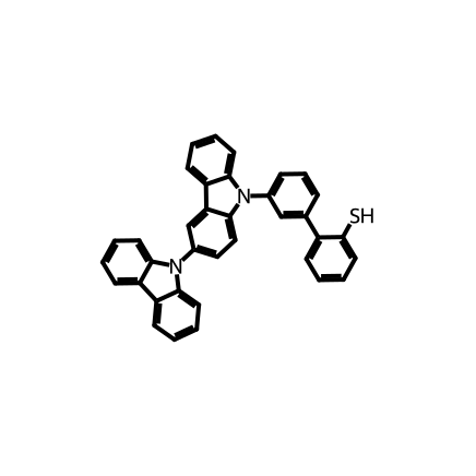 Sc1ccccc1-c1cccc(-n2c3ccccc3c3cc(-n4c5ccccc5c5ccccc54)ccc32)c1